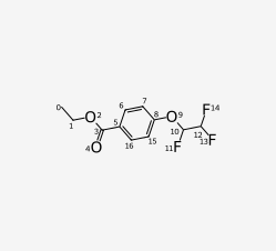 CCOC(=O)c1ccc(OC(F)C(F)F)cc1